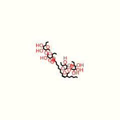 CCCCCC(/C=C\CCCCCCCC(=O)O[C@@H]1C(CC)O[C@@H](OC2C(C)OC(CC)[C@@H](O)[C@@H]2O)C(O)[C@H]1O)C(C)O[C@@H]1OC(CC)[C@@H](O)[C@H](O)C1O[C@@H]1OC(CC)[C@@H](O)[C@H](O)C1O